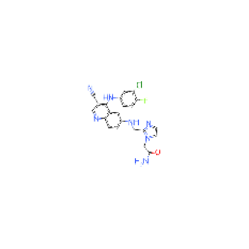 N#Cc1cnc2ccc(NCc3nccn3CC(N)=O)cc2c1Nc1ccc(F)c(Cl)c1